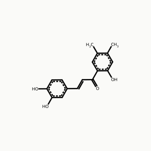 Cc1cc(O)c(C(=O)C=Cc2ccc(O)c(O)c2)cc1C